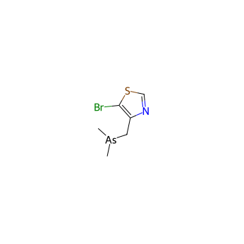 C[As](C)Cc1ncsc1Br